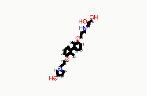 Cc1c(OCCCNC[C@@H](O)CO)cccc1-c1cccc(OCCCN2CC[C@@H](O)C2)c1C